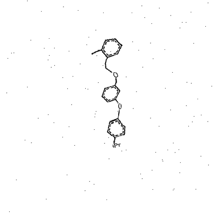 Cc1ccccc1COc1cccc(Oc2ccc(C(C)C)cc2)c1